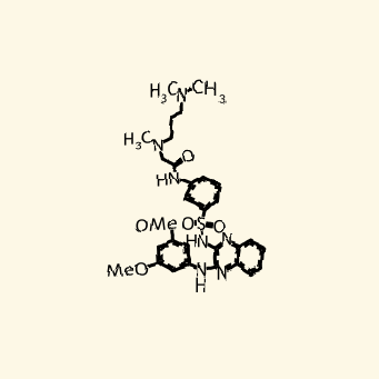 COc1cc(Nc2nc3ccccc3nc2NS(=O)(=O)c2cccc(NC(=O)CN(C)CCCN(C)C)c2)cc(OC)c1